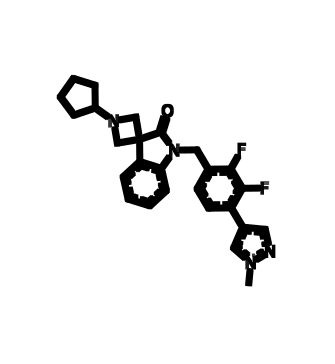 Cn1cc(-c2ccc(CN3C(=O)C4(CN(C5CCCC5)C4)c4ccccc43)c(F)c2F)cn1